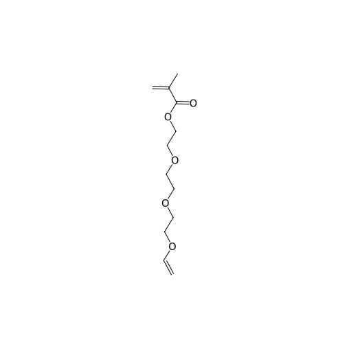 C=COCCOCCOCCOC(=O)C(=C)C